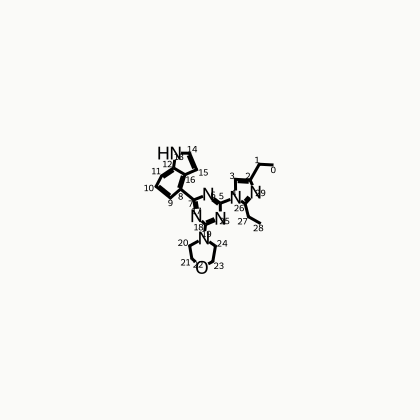 CCc1cn(-c2nc(-c3cccc4[nH]ccc34)nc(N3CCOCC3)n2)c(CC)n1